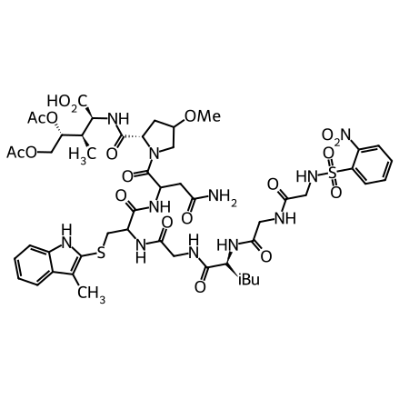 CC[C@H](C)[C@H](NC(=O)CNC(=O)CNS(=O)(=O)c1ccccc1[N+](=O)[O-])C(=O)NCC(=O)NC(CSc1[nH]c2ccccc2c1C)C(=O)NC(CC(N)=O)C(=O)N1CC(OC)C[C@H]1C(=O)N[C@H](C(=O)O)[C@@H](C)[C@H](COC(C)=O)OC(C)=O